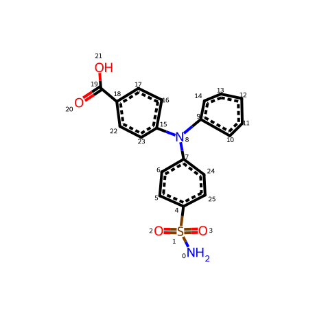 NS(=O)(=O)c1ccc(N(c2ccccc2)c2ccc(C(=O)O)cc2)cc1